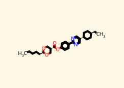 CCCCC[C@H]1OC[C@H](C(=O)Oc2ccc(-c3ncc([C@H]4CC[C@H](CC)CC4)cn3)cc2)CO1